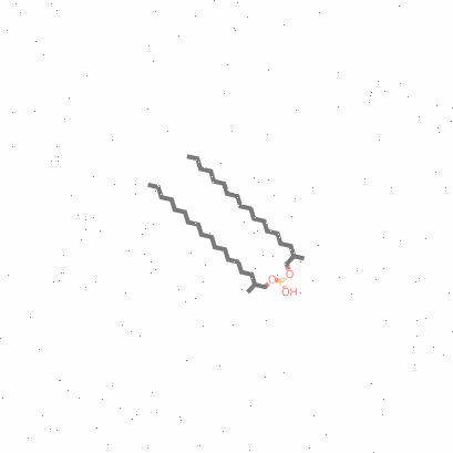 CCCCCCCCCCCCCCCCC(C)COP(O)OCC(C)CCCCCCCCCCCCCCCC